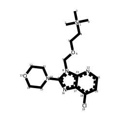 C[Si](C)(C)CCOCn1c(N2CCOCC2)nc2c(Cl)ccnc21